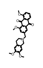 COc1cc2c(cc1OC)CN(Cc1cc(OC)c3c(c1)C(=O)c1cccc(OC)c1C3=O)CC2